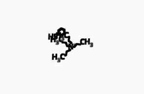 CCCC[N+](CCCC)(CCCC)CCCC.Sc1ccccc1